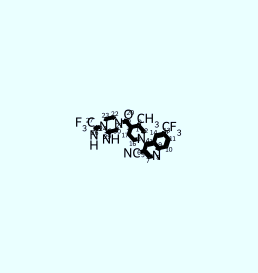 CC1CN(c2c(C#N)cnc3ccc(C(F)(F)F)cc23)CCC1C(=O)N1CCN(C(=N)C(F)(F)F)C(=N)C1